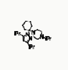 CC(C)c1cc(C(C)C)n(C2(N3CCN(C(C)C)CC3)CCCCC2)n1